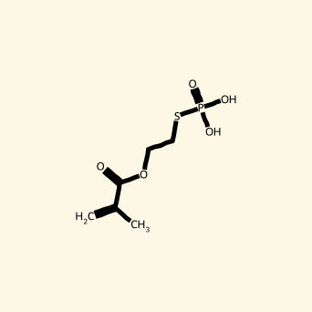 C=C(C)C(=O)OCCSP(=O)(O)O